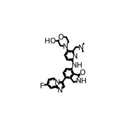 CN(C)Cc1nc(Nc2ccc(-c3cnc4cc(F)ccn34)c3c2C(=O)NC3)ccc1N1CCOC(O)C1